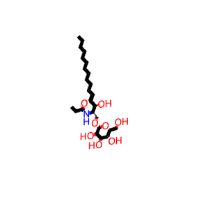 CCCCCCCCCCC/C=C/[C@@H](O)[C@H](COC1OC(CO)C(O)C(O)C1O)NC(=O)CC